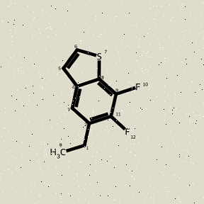 CCc1cc2ccsc2c(F)c1F